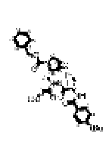 CC(C)C[C@H](NC(=O)c1ccc(C(C)(C)C)cc1)C(=O)NN(C[C@H]1C2OC2CN1C(=O)OCc1ccccc1)C(=O)OC(C)(C)C